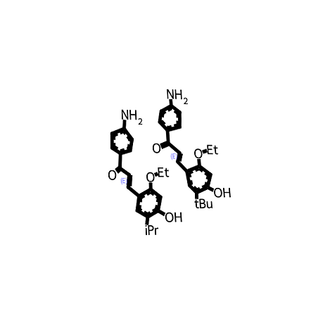 CCOc1cc(O)c(C(C)(C)C)cc1/C=C/C(=O)c1ccc(N)cc1.CCOc1cc(O)c(C(C)C)cc1/C=C/C(=O)c1ccc(N)cc1